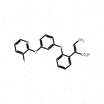 CC=C(C(=O)O)c1ccccc1Oc1cccc(Oc2ncccc2I)c1